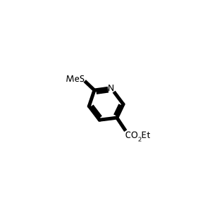 CCOC(=O)c1ccc(SC)nc1